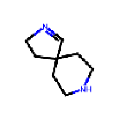 C1=NCCC12CCNCC2